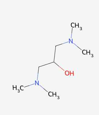 CN(C)CC(O)CN(C)C